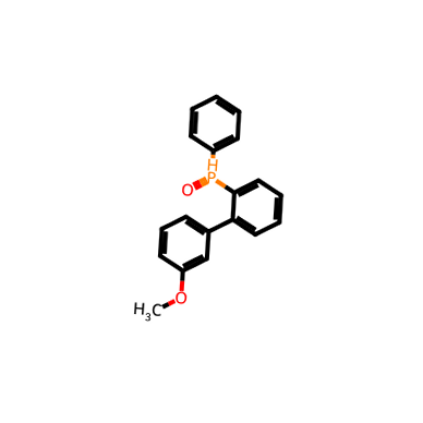 COc1cccc(-c2ccccc2[PH](=O)c2ccccc2)c1